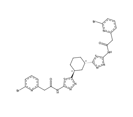 O=C(Cc1cccc(Br)n1)Nc1nnc([C@H]2CCC[C@H](c3nnc(NC(=O)Cc4cccc(Br)n4)s3)C2)s1